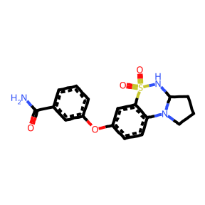 NC(=O)c1cccc(Oc2ccc3c(c2)S(=O)(=O)NC2CCCN32)c1